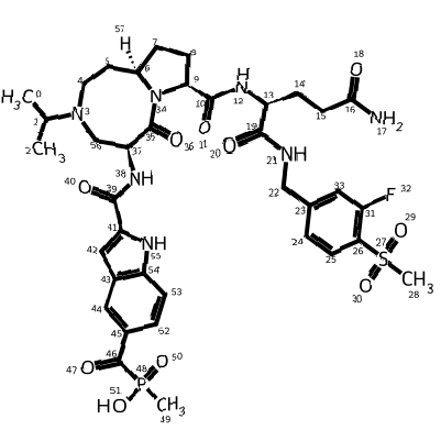 CC(C)N1CC[C@H]2CC[C@@H](C(=O)N[C@@H](CCC(N)=O)C(=O)NCc3ccc(S(C)(=O)=O)c(F)c3)N2C(=O)[C@@H](NC(=O)c2cc3cc(C(=O)P(C)(=O)O)ccc3[nH]2)C1